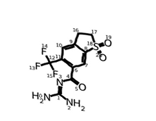 NC(N)=NC(=O)c1cc2c(cc1C(F)(F)F)CCS2(=O)=O